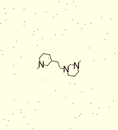 CN1CCCC(CCN2CCCN(C)C2)C1